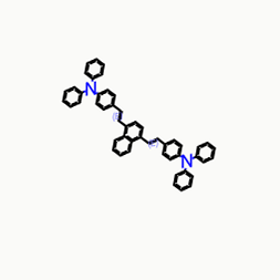 C(=C\c1ccc(/C=C/c2ccc(N(c3ccccc3)c3ccccc3)cc2)c2ccccc12)/c1ccc(N(c2ccccc2)c2ccccc2)cc1